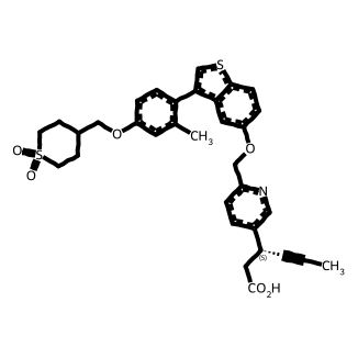 CC#C[C@H](CC(=O)O)c1ccc(COc2ccc3scc(-c4ccc(OCC5CCS(=O)(=O)CC5)cc4C)c3c2)nc1